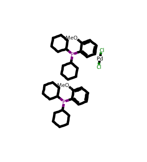 COc1ccccc1P(C1CCCCC1)C1CCCCC1.COc1ccccc1P(C1CCCCC1)C1CCCCC1.[Cl][Pd][Cl]